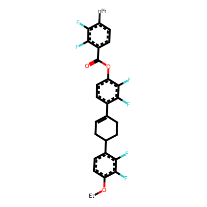 CCCc1ccc(C(=O)Oc2ccc(C3=CCC(c4ccc(OCC)c(F)c4F)CC3)c(F)c2F)c(F)c1F